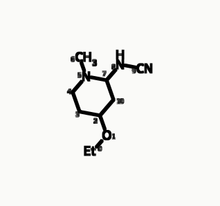 CCOC1CCN(C)C(NC#N)C1